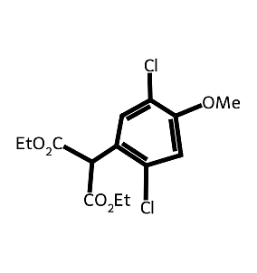 CCOC(=O)C(C(=O)OCC)c1cc(Cl)c(OC)cc1Cl